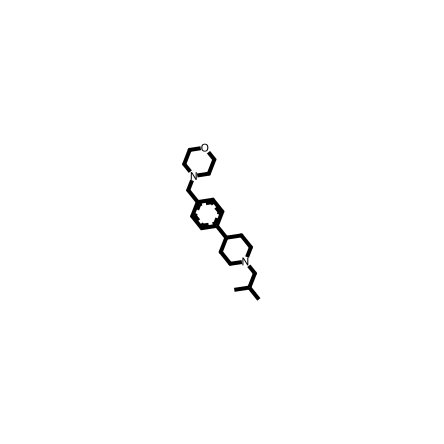 C[C](C)CN1CCC(c2ccc(CN3CCOCC3)cc2)CC1